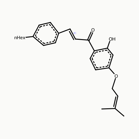 CCCCCCc1ccc(/C=C/C(=O)c2ccc(OCC=C(C)C)cc2O)cc1